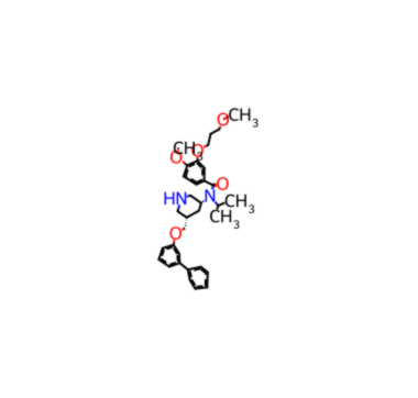 COCCCOc1cc(C(=O)N(C(C)C)[C@H]2CNC[C@@H](COc3cccc(-c4ccccc4)c3)C2)ccc1OC